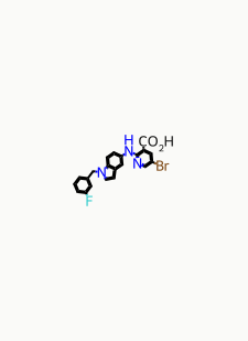 O=C(O)c1cc(Br)cnc1Nc1ccc2c(ccn2Cc2cccc(F)c2)c1